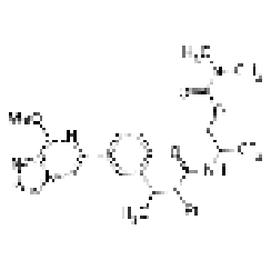 CCN(C(=O)NC(COC(=O)N(C)C)C(F)(F)F)C(C)c1cccc(-c2cn3ccnc3c(OC)n2)c1